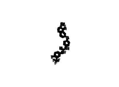 Cn1cnc2ccc(Oc3ccc(NC(=O)Nc4ccc(F)c(C(F)(F)F)c4)cc3)cc2c1=O